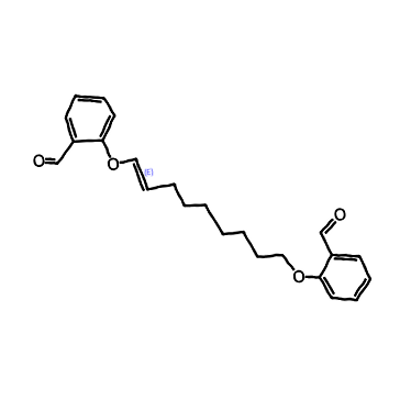 O=Cc1ccccc1O/C=C/CCCCCCCOc1ccccc1C=O